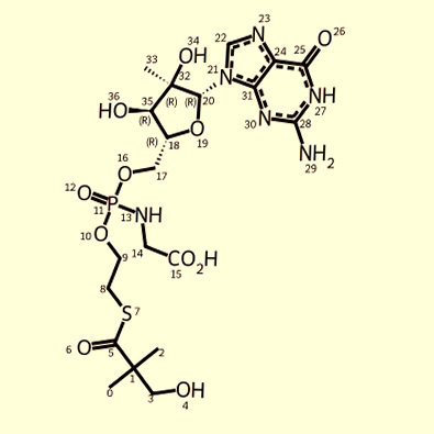 CC(C)(CO)C(=O)SCCOP(=O)(NCC(=O)O)OC[C@H]1O[C@@H](n2cnc3c(=O)[nH]c(N)nc32)[C@](C)(O)[C@@H]1O